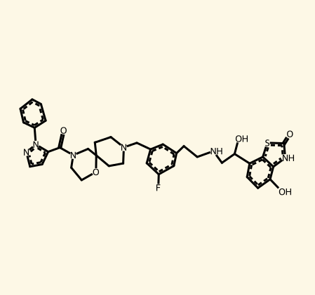 O=C(c1ccnn1-c1ccccc1)N1CCOC2(CCN(Cc3cc(F)cc(CCNCC(O)c4ccc(O)c5[nH]c(=O)sc45)c3)CC2)C1